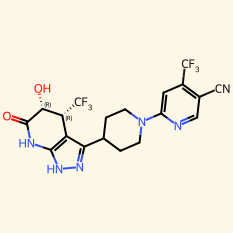 N#Cc1cnc(N2CCC(c3n[nH]c4c3[C@@H](C(F)(F)F)[C@@H](O)C(=O)N4)CC2)cc1C(F)(F)F